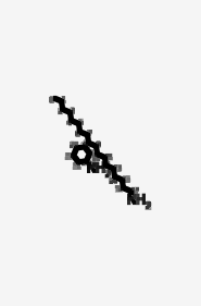 CCCCCCCCCCCCCCCCCCN.NC1CCCCC1